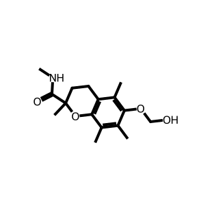 CNC(=O)C1(C)CCc2c(C)c(OCO)c(C)c(C)c2O1